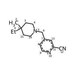 CCC1(C)CCN(Cc2ccnc(C#N)c2)CC1